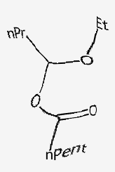 CCCCCC(=O)OC(CCC)OCC